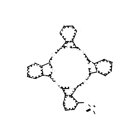 CS(=O)(=O)Oc1cccc2c3nc4nc(nc5[nH]c(nc6nc(nc([nH]3)c12)-c1ccccc1-6)c1ccccc51)-c1ccccc1-4